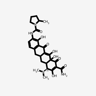 CC1CCCN1C(=O)Nc1ccc2c(c1O)C(=O)C1=C(O)C3(O)C(=O)C(C(N)=O)=C(O)[C@@H](N(C)C)C3CC1C2